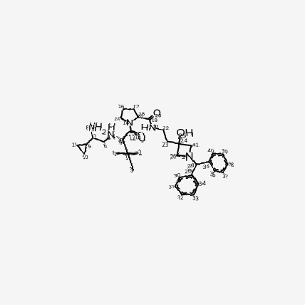 CC(C)(C)[C@H](NCC(N)C1CC1)C(=O)N1CCC[C@H]1C(=O)NCCC1(O)CN(C(c2ccccc2)c2ccccc2)C1